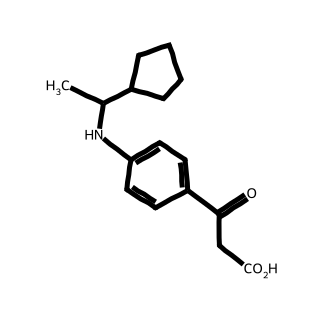 CC(Nc1ccc(C(=O)CC(=O)O)cc1)C1CCCC1